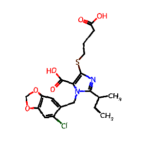 CCC(C)c1nc(SCCCC(=O)O)c(C(=O)O)n1Cc1cc2c(cc1Cl)OCO2